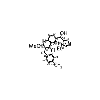 CC[N+]1(CC)C=NC=C1C(O)c1ccc2nc(OC)c(Cc3ccc(C(F)(F)F)cc3)c(Cl)c2c1